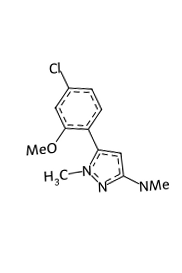 CNc1cc(-c2ccc(Cl)cc2OC)n(C)n1